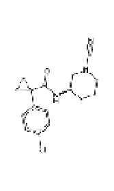 N#CN1CCC[C@@H](NC(=O)C2(c3ccc(Cl)cc3)CC2)C1